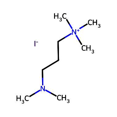 CN(C)CCC[N+](C)(C)C.[I-]